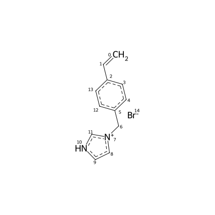 C=Cc1ccc(C[n+]2cc[nH]c2)cc1.[Br-]